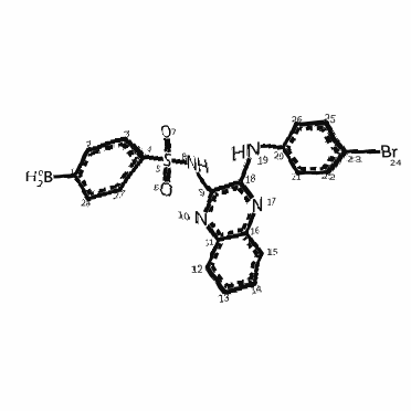 Bc1ccc(S(=O)(=O)Nc2nc3ccccc3nc2Nc2ccc(Br)cc2)cc1